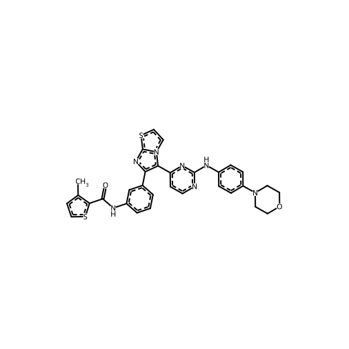 Cc1ccsc1C(=O)Nc1cccc(-c2nc3sccn3c2-c2ccnc(Nc3ccc(N4CCOCC4)cc3)n2)c1